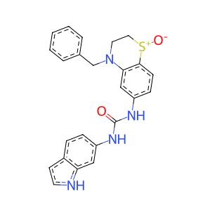 O=C(Nc1ccc2c(c1)N(Cc1ccccc1)CC[S+]2[O-])Nc1ccc2cc[nH]c2c1